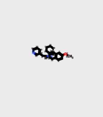 COc1ccc2c(c1)[C@]13CCCCC1[C@H](C2)N(Cc1cccnc1)CC3